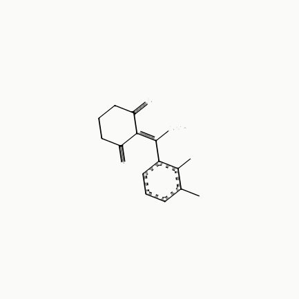 CN/C(=C1\C(=N)CCCC1=O)c1cccc(C)c1Cl